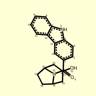 O=C(c1ccc2[nH]c3ccccc3c2c1)N1C2CCC1CC(O)C2